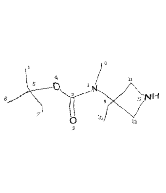 CN(C(=O)OC(C)(C)C)C1(C)CNC1